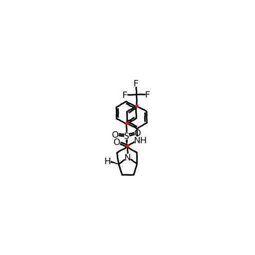 O=C(Nc1ccc(C(F)(F)F)cc1)N1C2CC[C@@H]1C[C@@H](S(=O)(=O)c1ccccc1)C2